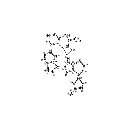 C=C(Nc1cncc(-c2ccc3[nH]nc(-c4nc5c(-n6cnc(C)c6)cccc5[nH]4)c3n2)c1)C1CCC1